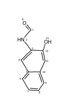 O=[C]Nc1cc2ccccc2cc1O